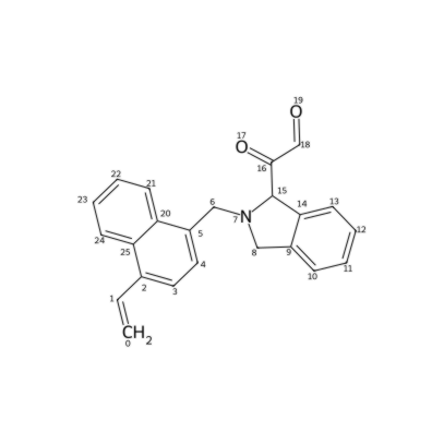 C=Cc1ccc(CN2Cc3ccccc3C2C(=O)C=O)c2ccccc12